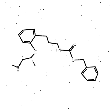 CBC[C@@H](C)Oc1ccccc1CCCNC(=O)OCc1ccccc1